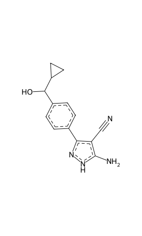 N#Cc1c(-c2ccc(C(O)C3CC3)cc2)n[nH]c1N